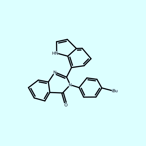 CCC(C)c1ccc(-n2c(-c3cccc4cc[nH]c34)nc3ccccc3c2=O)cc1